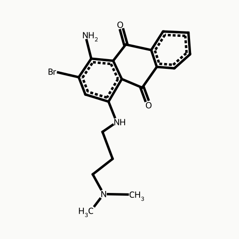 CN(C)CCCNc1cc(Br)c(N)c2c1C(=O)c1ccccc1C2=O